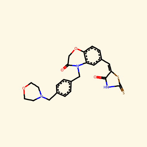 O=C1NC(=S)SC1=Cc1ccc2c(c1)N(Cc1ccc(CN3CCOCC3)cc1)C(=O)CO2